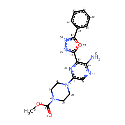 COC(=O)N1CCN(c2cnc(N)c(-c3nnc(-c4ccccc4)o3)n2)CC1